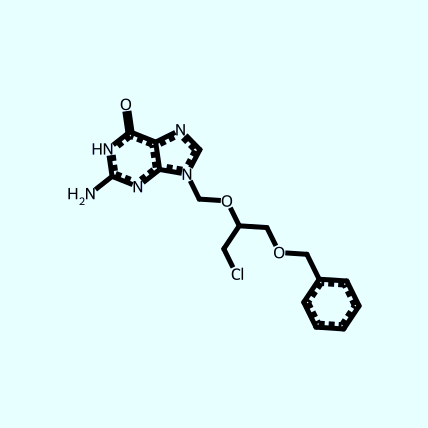 Nc1nc2c(ncn2COC(CCl)COCc2ccccc2)c(=O)[nH]1